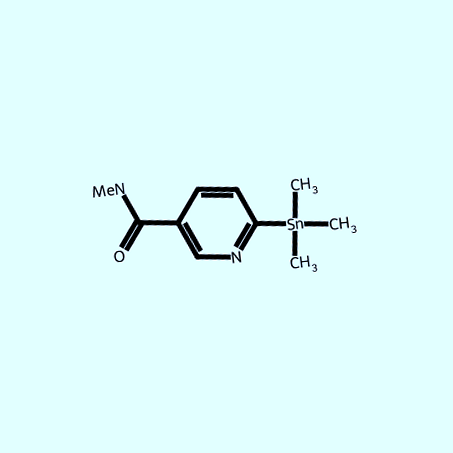 CNC(=O)c1cc[c]([Sn]([CH3])([CH3])[CH3])nc1